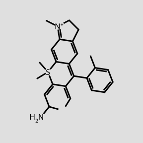 C/C=C1/C(c2ccccc2C)=c2cc3c(cc2S(C)(C)/C1=C/C(C)N)=[N+](C)CC3